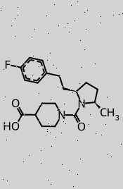 C[C@@H]1CC[C@H](CCc2ccc(F)cc2)N1C(=O)N1CCC(C(=O)O)CC1